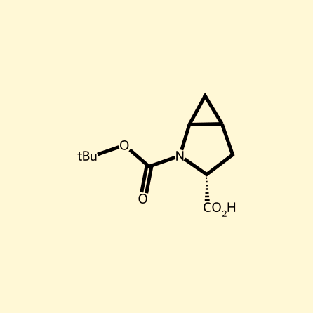 CC(C)(C)OC(=O)N1C2CC2C[C@@H]1C(=O)O